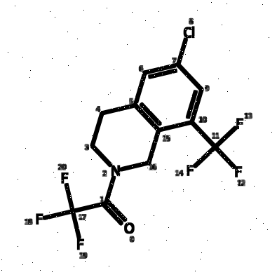 O=C(N1CCc2cc(Cl)cc(C(F)(F)F)c2C1)C(F)(F)F